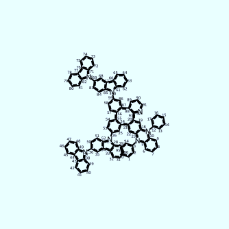 c1ccc(-n2c3ccccc3n(-c3ccccc3)c3cc4c(cc32)c2cc(-n3c5ccccc5c5cc(-n6c7ccccc7c7ccccc76)ccc53)ccc2c2ccc(-n3c5ccccc5c5cc(-n6c7ccccc7c7ccccc76)ccc53)cc2c2cccnc24)cc1